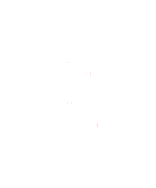 C=O.OCCCCC(O)CO